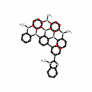 CN1c2ccccc2N(c2ccc(-c3cccc(-c4nc5ccccc5n4C)c3)c(N3c4ccccc4N(C)c4ccccc43)c2N2c3ccccc3N(C)c3ccccc32)c2ccccc21